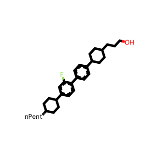 CCCCCC1CCC(c2ccc(-c3ccc(C4CCC(CCCO)CC4)cc3)c(F)c2)CC1